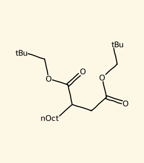 CCCCCCCCC(CC(=O)OCC(C)(C)C)C(=O)OCC(C)(C)C